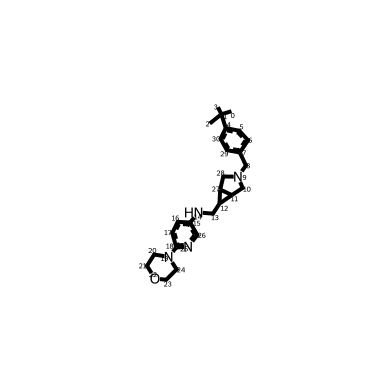 CC(C)(C)c1ccc(CN2CC3C(CNc4ccc(N5CCOCC5)nc4)C3C2)cc1